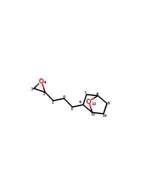 C(CC1CO1)CC1CC2CCC1O2